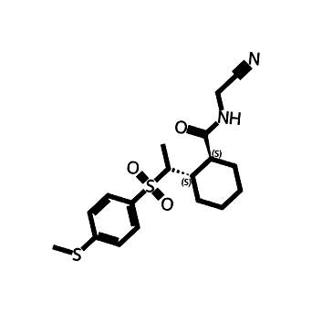 CSc1ccc(S(=O)(=O)C(C)[C@H]2CCCC[C@@H]2C(=O)NCC#N)cc1